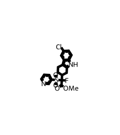 COC(=O)C(F)(C1CCc2c([nH]c3ccc(Cl)cc23)C1)S(=O)(=O)c1cccnc1